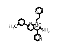 Cc1cccc(-c2ccc(C(C(N)=O)c3cccnc3)c(NCCc3ccccn3)n2)c1